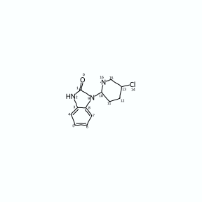 O=c1[nH]c2ccccc2n1C1CCC(Cl)C[N]1